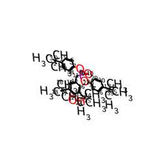 CC(C)(C)c1ccc(OP(=O)(Cc2cc(C(C)(C)C)c(O)c(C(C)(C)C)c2)Oc2ccc(C(C)(C)C)cc2)cc1